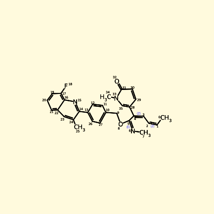 C\C=C/C=C(\C(=N/C)OCc1ccc(-c2nc3c(F)cccc3cc2C)cc1)c1ccc(=O)n(C)c1